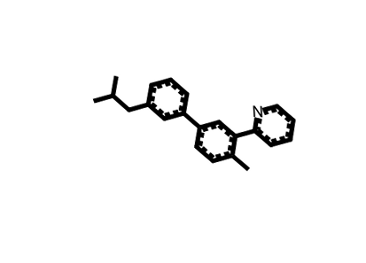 Cc1ccc(-c2cccc(CC(C)C)c2)cc1-c1ccccn1